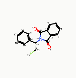 O=C1c2ccccc2C(=O)N1[C@H](CF)c1ccccc1